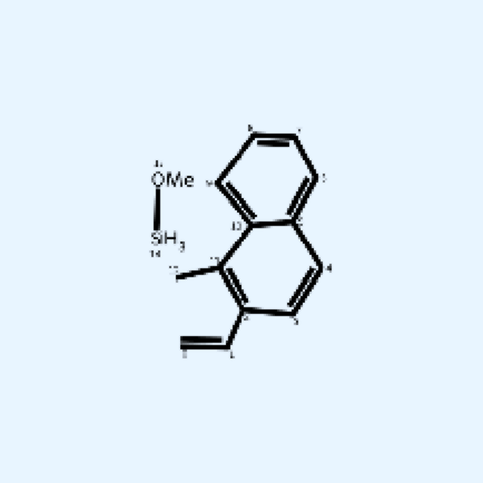 C=Cc1ccc2ccccc2c1C.CO[SiH3]